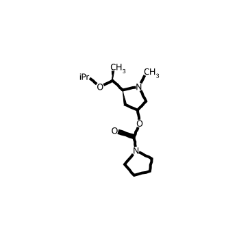 CC(C)O[C@@H](C)[C@@H]1CC(OC(=O)N2CCCC2)CN1C